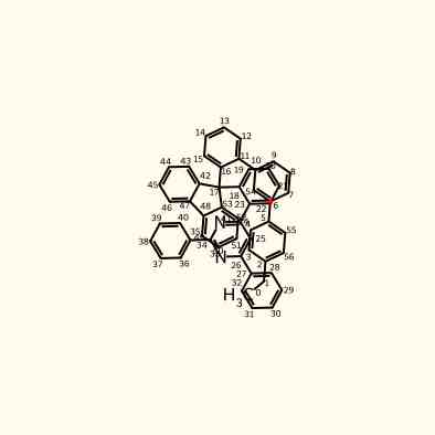 CCc1ccc(-c2cccc(-c3ccccc3C3(c4ccccc4-c4cc(-c5ccccc5)nc(-c5ccccc5)n4)c4ccccc4-c4ccccc43)c2)cc1